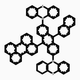 C1=CC2=C(CC1)Sc1ccccc1N2c1ccc2c(-c3ccc4ccccc4c3)c3cc(N4c5ccccc5Sc5ccccc54)ccc3c(-c3ccc4c5cccc6cccc(c7cccc3c74)c65)c2c1